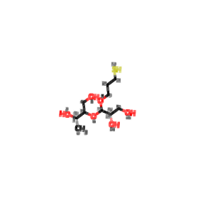 C[C@H](O)C(CO)OC(OCCCS)[C@@H](O)CO